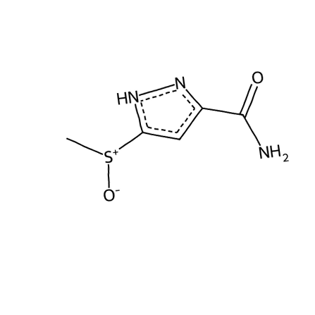 C[S+]([O-])c1cc(C(N)=O)n[nH]1